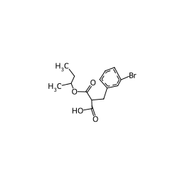 CCC(C)OC(=O)C(Cc1cccc(Br)c1)C(=O)O